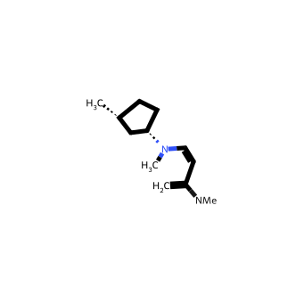 C=C(/C=C\N(C)[C@H]1CC[C@@H](C)C1)NC